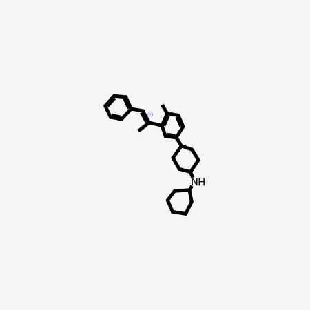 C/C(=C\c1ccccc1)c1cc(C2CCC(NC3CCCCC3)CC2)ccc1C